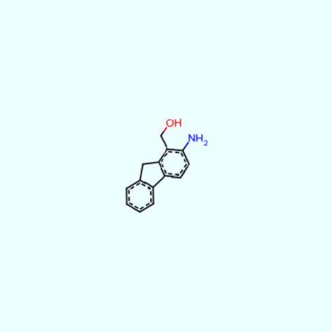 Nc1ccc2c(c1CO)Cc1ccccc1-2